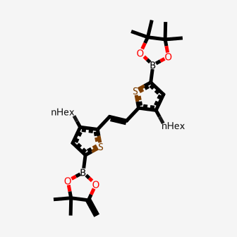 C=C1OB(c2cc(CCCCCC)c(/C=C/c3sc(B4OC(C)(C)C(C)(C)O4)cc3CCCCCC)s2)OC1(C)C